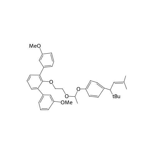 COc1cccc(-c2cccc(-c3cccc(OC)c3)c2OCCOC(C)Oc2ccc(C(C=C(C)C)C(C)(C)C)cc2)c1